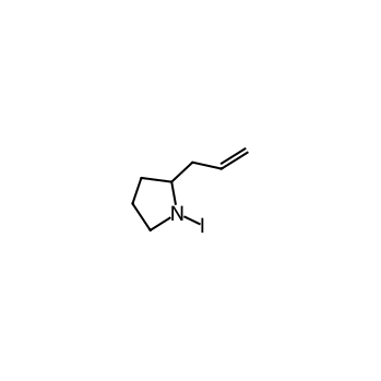 C=CCC1CCCN1I